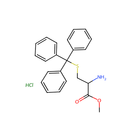 COC(=O)C(N)CSC(c1ccccc1)(c1ccccc1)c1ccccc1.Cl